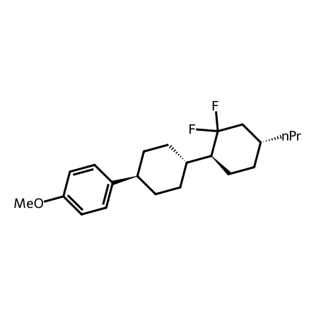 CCC[C@@H]1CC[C@@H]([C@H]2CC[C@H](c3ccc(OC)cc3)CC2)C(F)(F)C1